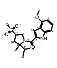 COc1cccc2[nH]c(C(=O)N3CC(S(C)(=O)=O)CC3(C)C(C)C)cc12